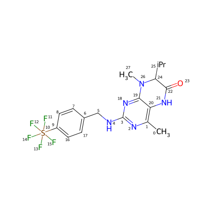 Cc1nc(NCc2ccc(S(F)(F)(F)(F)F)cc2)nc2c1NC(=O)C(C(C)C)N2C